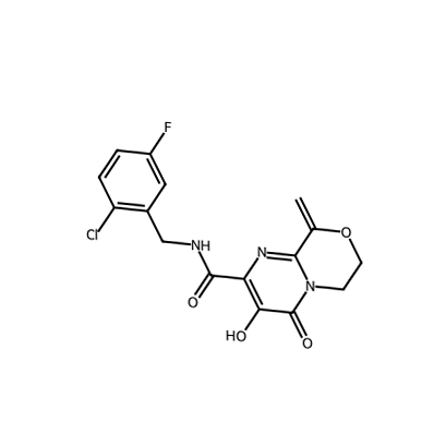 C=C1OCCn2c1nc(C(=O)NCc1cc(F)ccc1Cl)c(O)c2=O